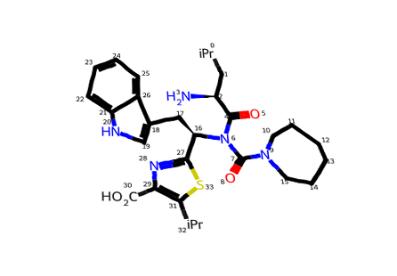 CC(C)C[C@H](N)C(=O)N(C(=O)N1CCCCCC1)[C@H](Cc1c[nH]c2ccccc12)c1nc(C(=O)O)c(C(C)C)s1